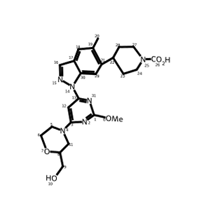 COc1nc(N2CCOC(CO)C2)cc(-n2ncc3cc(C)c(C4CCN(C(=O)O)CC4)cc32)n1